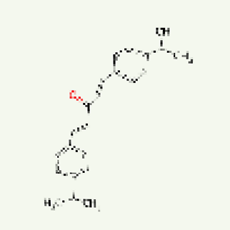 CC(C)c1ccc(/C=C/C(=O)/C=C/c2ccc(C(C)C)cc2)cc1